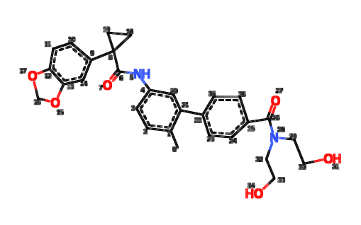 Cc1ccc(NC(=O)C2(c3ccc4c(c3)OCO4)CC2)cc1-c1ccc(C(=O)N(CCO)CCO)cc1